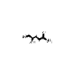 CC(C)CC(O)CCC(N)=O